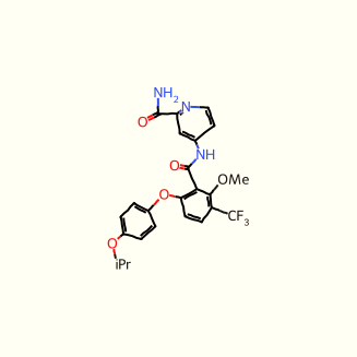 COc1c(C(F)(F)F)ccc(Oc2ccc(OC(C)C)cc2)c1C(=O)Nc1ccnc(C(N)=O)c1